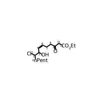 CCCCCC(Cl)C(O)/C=C\CCC(=O)CC(=O)OCC